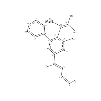 C/C=C\C=C(/C)c1cc(-c2ccccc2)c(C(NC)=C(C)C)c(C)n1